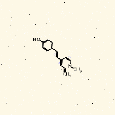 C=C/C=C(\C=C/NC)/C=C/c1ccc(O)cc1